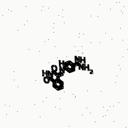 N=C(N)c1ccc(NC=C2C(=O)NC(=O)c3ccccc32)cc1